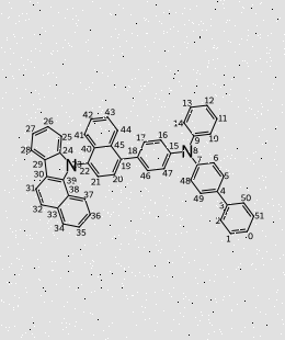 c1ccc(-c2ccc(N(c3ccccc3)c3ccc(-c4ccc(-n5c6ccccc6c6ccc7ccccc7c65)c5ccccc45)cc3)cc2)cc1